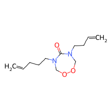 C=CCCCN1COOCN(CCC=C)C1=O